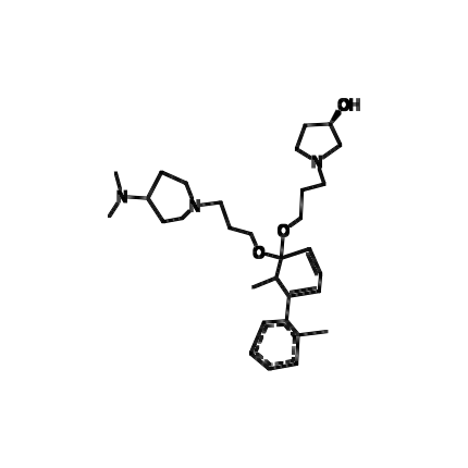 Cc1ccccc1C1=CC=CC(OCCCN2CCC(N(C)C)CC2)(OCCCN2CC[C@@H](O)C2)C1C